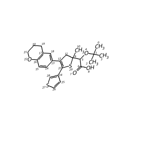 CC(C)(C)OC(C(=O)O)C1(C)CC(c2ccc3c(c2)CCCO3)=C(c2ccsc2)S1